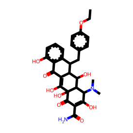 CCOc1ccc(CC2c3cccc(O)c3C(=O)C3=C(O)C4(O)C(=O)C(C(N)=O)=C(O)C(N(C)C)C4C(O)C32)cc1